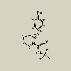 CC(C)(C)OC(=O)N1CCCCC1Sc1ccc(F)cc1